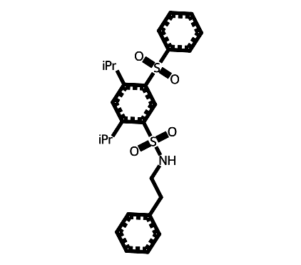 CC(C)c1cc(C(C)C)c(S(=O)(=O)c2ccccc2)cc1S(=O)(=O)NCCc1ccccc1